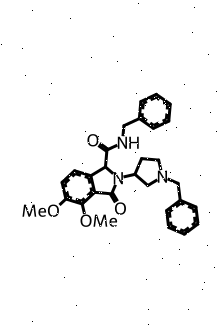 COc1ccc2c(c1OC)C(=O)N(C1CCN(Cc3ccccc3)C1)C2C(=O)NCc1ccccc1